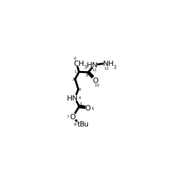 CC(CCNC(=O)OC(C)(C)C)C(=O)NN